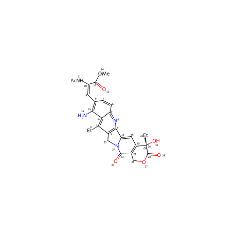 CCc1c2c(nc3ccc(C=C(NC(C)=O)C(=O)OC)c(N)c13)-c1cc3c(c(=O)n1C2)COC(=O)[C@]3(O)CC